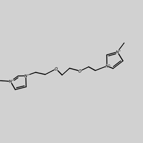 C[N+]1=C[N+](CCOCCOCC[N+]2C=C[N+](C)=C2)C=C1